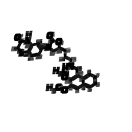 COc1cc2ccccc2c(CNCCCC2CN(c3ccc4c(c3)NC(=O)CS4)C(=O)O2)c1OC